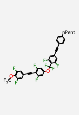 CCCCCc1ccc(C#Cc2cc(F)c(C(F)(F)Oc3cc(F)c(C#Cc4cc(F)c(OC(F)(F)F)c(F)c4)c(F)c3)c(F)c2)cc1